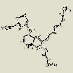 C#Cc1cccc(Nc2ncnc3cc(OCCOC)c(OCCOCC#CC)cc23)c1